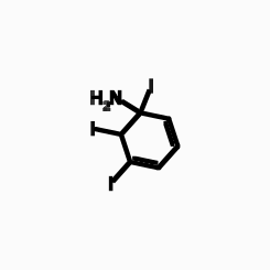 NC1(I)C=CC=C(I)C1I